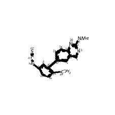 CNc1ncc2cc(-c3cc(N=C=S)ccc3C)ccc2n1